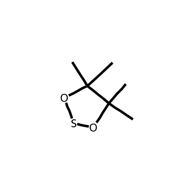 CC1(C)OSOC1(C)C